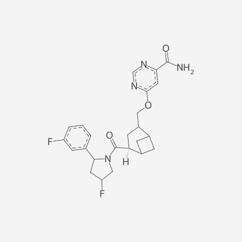 NC(=O)c1cc(OCC2C[C@H](C(=O)N3CC(F)CC3c3cccc(F)c3)C3CC2C3)ncn1